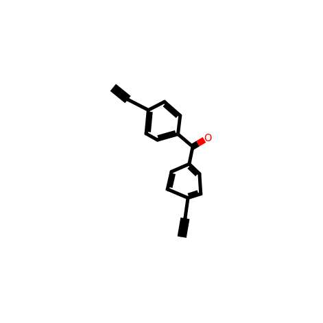 C#Cc1ccc(C(=O)c2ccc(C#C)cc2)cc1